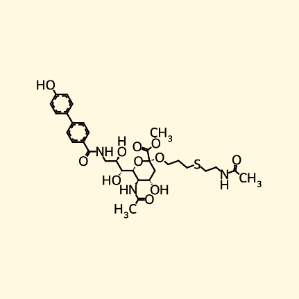 COC(=O)[C@@]1(OCCCSCCNC(C)=O)C[C@H](O)[C@@H](NC(C)=O)[C@H]([C@H](O)[C@H](O)CNC(=O)c2ccc(-c3ccc(O)cc3)cc2)O1